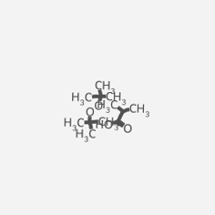 CC(C)(C)OOC(C)(C)C.CC(C)C(=O)O